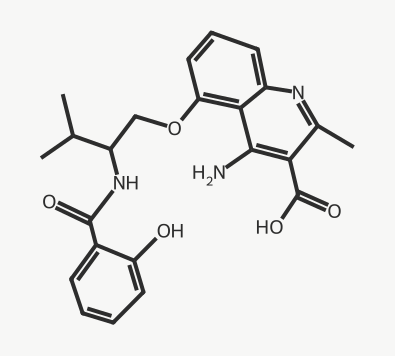 Cc1nc2cccc(OCC(NC(=O)c3ccccc3O)C(C)C)c2c(N)c1C(=O)O